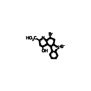 O=C(O)c1cc(O)c2c(n1)c(Br)cc1c2c2ccccc2[s+]1[O-]